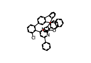 Clc1cccc(-c2ccc3c(c2)C2(c4ccccc4Oc4ccccc42)c2ccccc2-3)c1-c1cc(-c2ccccc2)nc(-c2ccccc2)n1